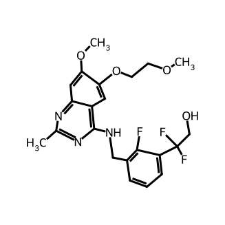 COCCOc1cc2c(NCc3cccc(C(F)(F)CO)c3F)nc(C)nc2cc1OC